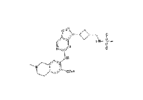 COc1cc2c(cc1Nc1ncc3cnn([C@H]4C[C@@H](CNS(C)(=O)=O)C4)c3n1)CN(C)CC2